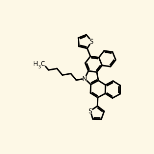 CCCCCCn1c2cc(-c3cccs3)c3ccccc3c2c2c3ccccc3c(-c3cccs3)cc21